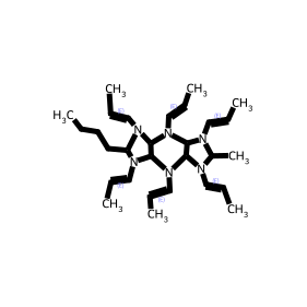 C/C=C/N1C(C)N(/C=C/C)C2C1N(/C=C/C)C1C(N(/C=C/C)C(CCCC)N1/C=C/C)N2/C=C/C